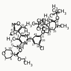 CCOC(=O)N1CCOC[C@@H]1CNc1nc(-c2cc(Cl)cc(OCC(CN(C)C(=O)OC(C)(C)C)O[Si](C)(C)C(C)(C)C)c2)nc(-c2c(C)noc2C)c1C